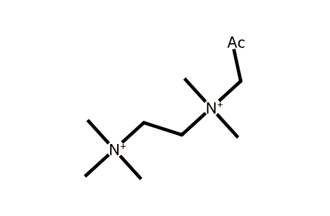 CC(=O)C[N+](C)(C)CC[N+](C)(C)C